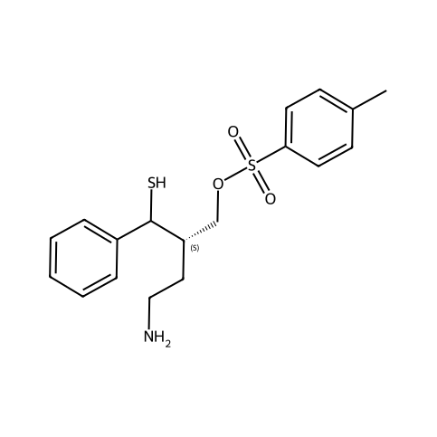 Cc1ccc(S(=O)(=O)OC[C@H](CCN)C(S)c2ccccc2)cc1